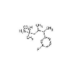 CC(CC(C)(N)C(=O)O)C(C)c1cccc(F)c1